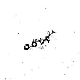 Br.Cc1sc(C(=O)OC(C)C)cc1-c1csc(Nc2ccc(Oc3ccccc3)cc2)n1